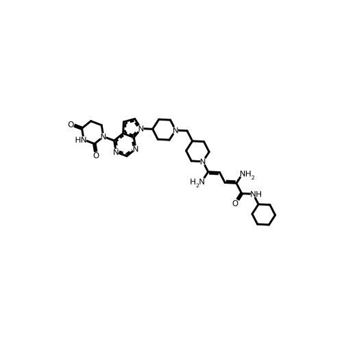 N/C(=C\C=C(/N)N1CCC(CN2CCC(n3ccc4c(N5CCC(=O)NC5=O)ncnc43)CC2)CC1)C(=O)NC1CCCCC1